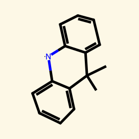 CC1(C)c2ccccc2[N]c2ccccc21